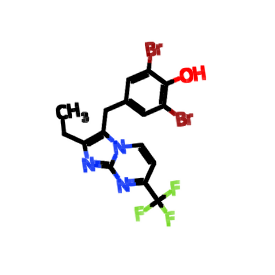 CCc1nc2nc(C(F)(F)F)ccn2c1Cc1cc(Br)c(O)c(Br)c1